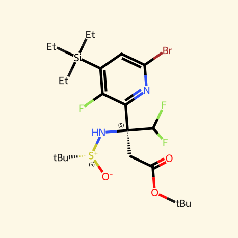 CC[Si](CC)(CC)c1cc(Br)nc([C@](CC(=O)OC(C)(C)C)(N[S@+]([O-])C(C)(C)C)C(F)F)c1F